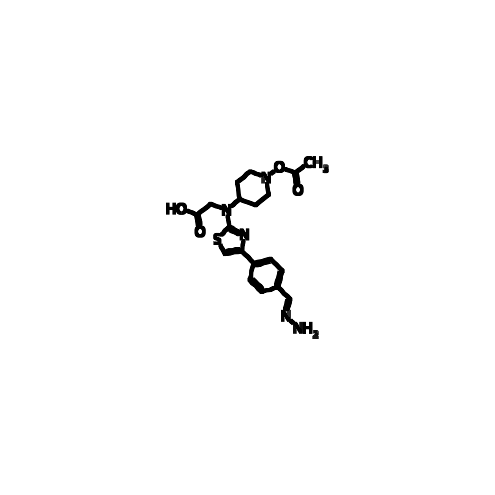 CC(=O)ON1CCC(N(CC(=O)O)c2nc(-c3ccc(C=NN)cc3)cs2)CC1